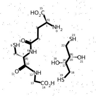 N[C@@H](CCC(=O)N[C@@H](CS)C(=O)NCC(=O)O)C(=O)O.O[C@@H](CS)[C@@H](O)CS